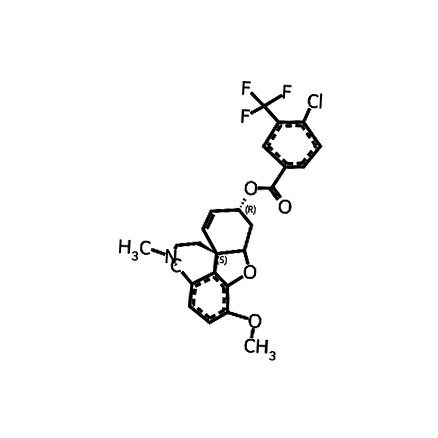 COc1ccc2c3c1OC1C[C@@H](OC(=O)c4ccc(Cl)c(C(F)(F)F)c4)C=C[C@@]31CCN(C)C2